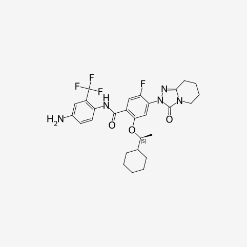 C[C@H](Oc1cc(-n2nc3n(c2=O)CCCC3)c(F)cc1C(=O)Nc1ccc(N)cc1C(F)(F)F)C1CCCCC1